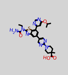 CCN(C(N)=O)c1nc2cc(-c3cnc(N4CCC(C)(C(=O)O)CC4)nc3)cc(-c3cc(OC(C)C)ncn3)c2s1